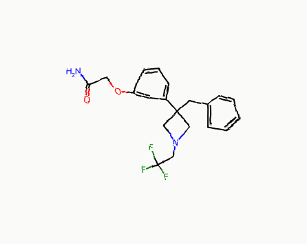 NC(=O)COc1cccc(C2(Cc3ccccc3)CN(CC(F)(F)F)C2)c1